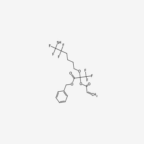 C=CC(=O)OC(OCCCCC(F)(F)C(F)(F)S)(C(=O)OCc1ccccc1)C(F)(F)F